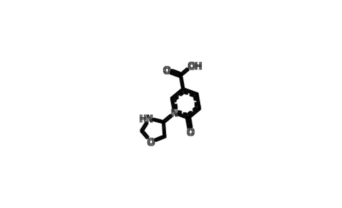 O=C(O)c1ccc(=O)n(C2COCN2)c1